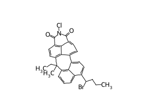 CCCC(Br)c1ccc2c3c(cccc13)C(C)(CC)c1ccc3c4c(ccc-2c14)C(=O)N(Cl)C3=O